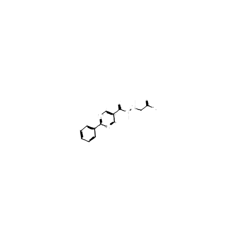 NC(=O)CNNC(=O)c1cnc(-c2ccccc2)nc1